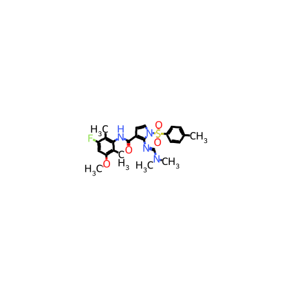 COc1cc(F)c(C)c(NC(=O)c2ccn(S(=O)(=O)c3ccc(C)cc3)c2N=CN(C)C)c1C